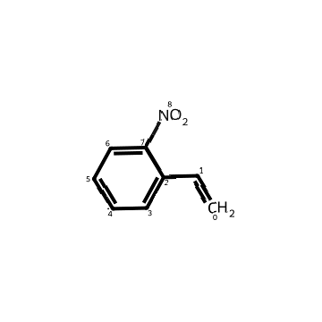 C=Cc1c[c]ccc1[N+](=O)[O-]